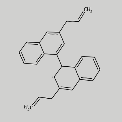 C=CCC1=Cc2ccccc2C(c2cc(CC=C)cc3ccccc23)[C]1